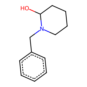 OC1CCCCN1Cc1ccccc1